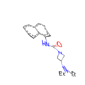 CCN(CC)C1CN(C(=O)Nc2cccc3ccccc23)C1